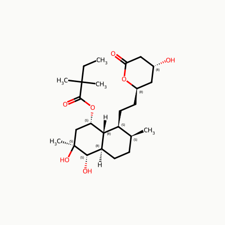 CCC(C)(C)C(=O)O[C@H]1C[C@](C)(O)[C@@H](O)[C@@H]2CC[C@H](C)[C@H](CC[C@@H]3C[C@@H](O)CC(=O)O3)[C@H]21